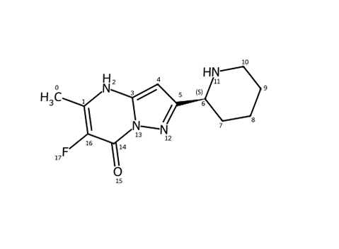 Cc1[nH]c2cc([C@@H]3CCCCN3)nn2c(=O)c1F